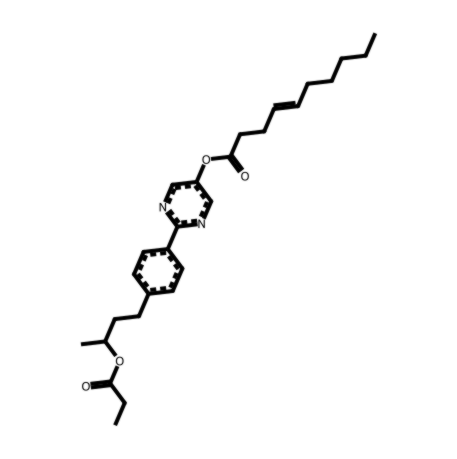 CCCCCC=CCCC(=O)Oc1cnc(-c2ccc(CCC(C)OC(=O)CC)cc2)nc1